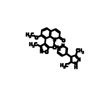 COc1ccc2ccc(=O)n(Cc3ccc(-c4c(C)n[nH]c4C)cn3)c2c1-c1c(C)noc1C